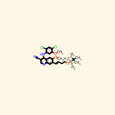 COc1cc(Nc2c(C#N)cnc3cc(/C=C/CCO[Si](C)(C)C(C)(C)C)c(OC)cc23)c(Cl)cc1Cl